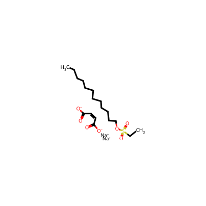 CCCCCCCCCCCCOS(=O)(=O)CC.O=C([O-])/C=C\C(=O)[O-].[Na+].[Na+]